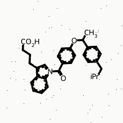 CC(C)Cc1ccc(C(C)Oc2ccc(C(=O)n3cc(CCCC(=O)O)c4ccccc43)cc2)cc1